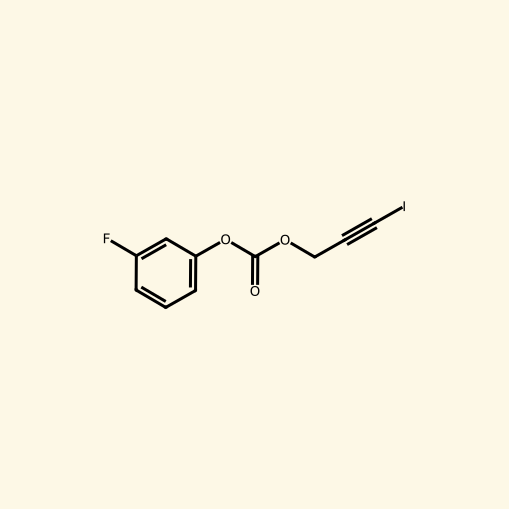 O=C(OCC#CI)Oc1cccc(F)c1